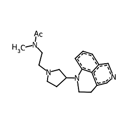 CC(=O)N(C)CCN1CCC(N2CCc3cncc4cccc2c34)C1